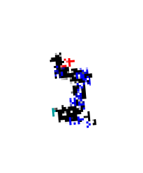 C[C@](N)(c1ccc(F)cc1)c1cnc(N2CCN(c3ncnn4cc(-c5cnn(CC6(O)CC6)c5)cc34)CC2)nc1